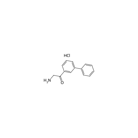 Cl.NCC(=O)c1cccc(-c2ccccc2)c1